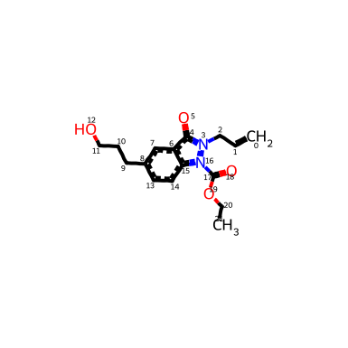 C=CCn1c(=O)c2cc(CCCO)ccc2n1C(=O)OCC